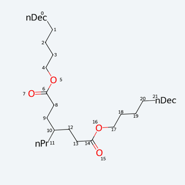 CCCCCCCCCCCCCCOC(=O)CCC(CCC)CCC(=O)OCCCCCCCCCCCCCC